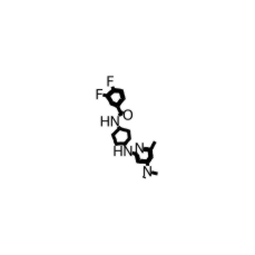 Cc1cc(N(C)C)cc(NC2CCC(NC(=O)c3ccc(F)c(F)c3)CC2)n1